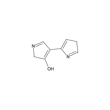 OC1=C(C2=CCC=N2)C=NC1